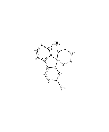 Cc1ccc2c(c1)C1(CCOCC1)c1c(C)cccc1-2